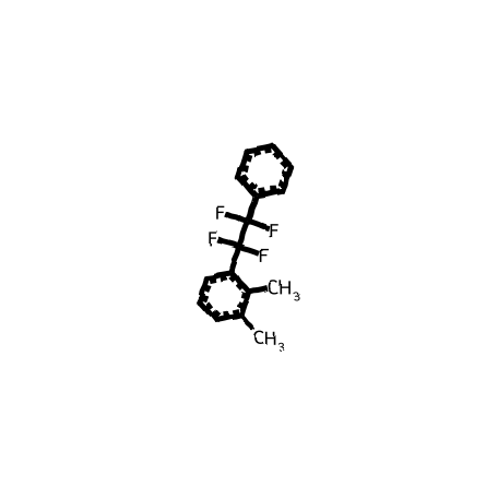 Cc1cccc(C(F)(F)C(F)(F)c2ccccc2)c1C